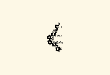 COc1nc(-c2cccc(-c3cccc(-c4cnc(CN5CCCC(F)(F)C5)c(OC)n4)c3Cl)c2Cl)cnc1CNCC1CCC(=O)N1